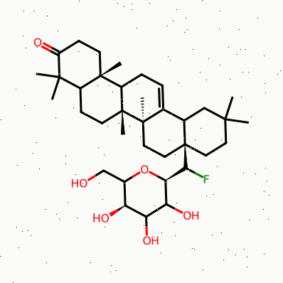 CC1(C)CC[C@]2(C(F)[C@@H]3OC(CO)[C@H](O)C(O)C3O)CC[C@]3(C)C(=CCC4[C@@]5(C)CCC(=O)C(C)(C)C5CC[C@]43C)C2C1